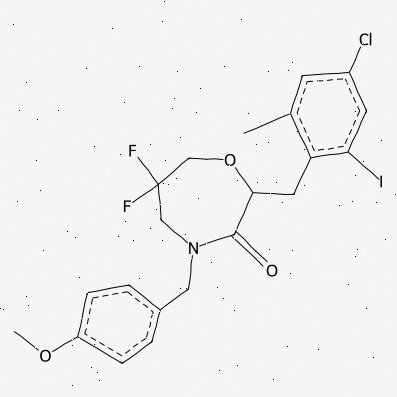 COc1ccc(CN2CC(F)(F)COC(Cc3c(C)cc(Cl)cc3I)C2=O)cc1